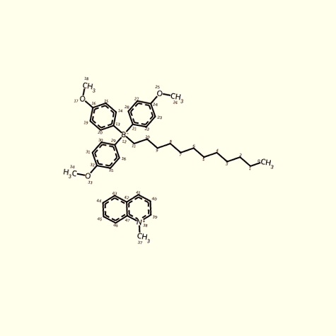 CCCCCCCCCCCC[B-](c1ccc(OC)cc1)(c1ccc(OC)cc1)c1ccc(OC)cc1.C[n+]1cccc2ccccc21